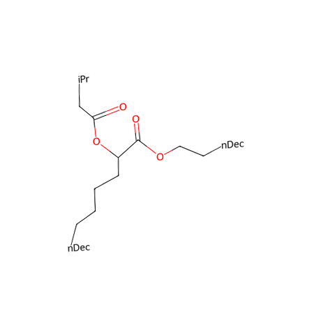 CCCCCCCCCCCCCCC(OC(=O)CC(C)C)C(=O)OCCCCCCCCCCCC